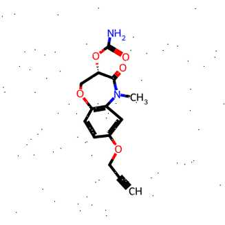 C#CCOc1ccc2c(c1)N(C)C(=O)[C@@H](OC(N)=O)CO2